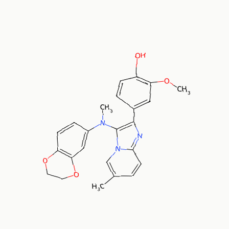 COc1cc(-c2nc3ccc(C)cn3c2N(C)c2ccc3c(c2)OCCO3)ccc1O